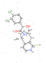 O=C(C(O)c1ccc(Cl)c(Cl)c1)N1[C@H]2CC[C@@H]1c1ccnc(F)c1C2